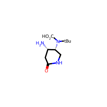 CC(C)(C)N(C(=O)O)[C@@H]1CNC(=O)C[C@@H]1N